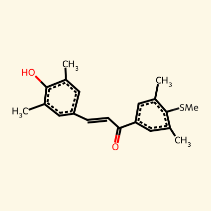 CSc1c(C)cc(C(=O)/C=C/c2cc(C)c(O)c(C)c2)cc1C